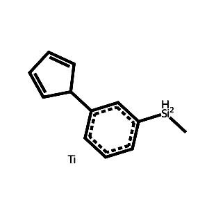 C[SiH2]c1cccc(C2C=CC=C2)c1.[Ti]